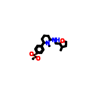 CC1CCOC1CNC1CCCC(c2ccc(S(C)(=O)=O)cc2)N1C